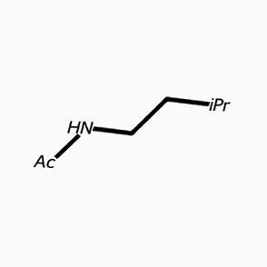 [CH2]C(=O)NCCC(C)C